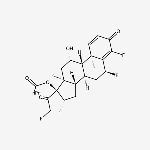 CCCC(=O)O[C@]1(C(=O)CF)[C@@H](C)C[C@H]2[C@@H]3C[C@H](F)C4=C(F)C(=O)C=C[C@]4(C)[C@H]3[C@@H](O)C[C@@]21C